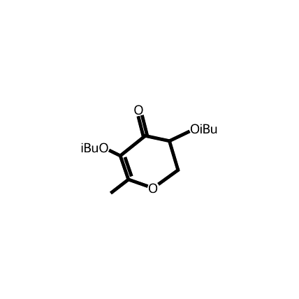 CC1=C(OCC(C)C)C(=O)C(OCC(C)C)CO1